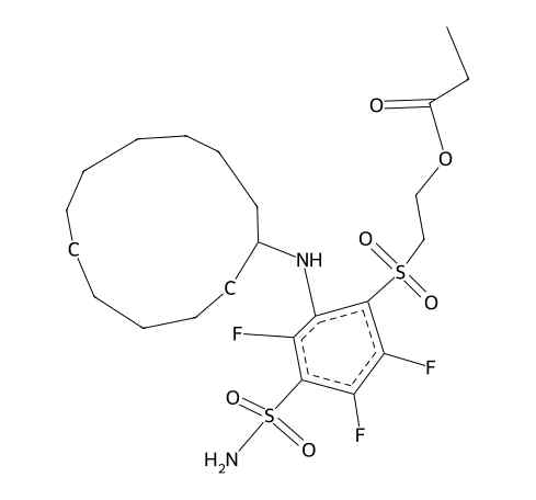 CCC(=O)OCCS(=O)(=O)c1c(F)c(F)c(S(N)(=O)=O)c(F)c1NC1CCCCCCCCCCC1